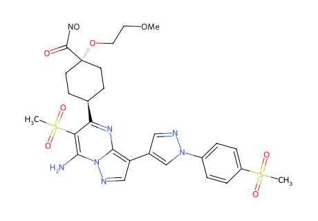 COCCO[C@]1(C(=O)N=O)CC[C@@H](c2nc3c(-c4cnn(-c5ccc(S(C)(=O)=O)cc5)c4)cnn3c(N)c2S(C)(=O)=O)CC1